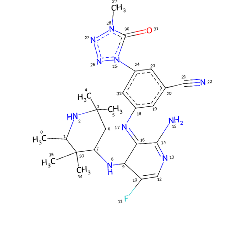 CC1NC(C)(C)CC(NC2C(F)=CN=C(N)C2=Nc2cc(C#N)cc(-n3nnn(C)c3=O)c2)C1(C)C